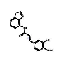 COc1ccc(/C=C/C(=O)Nc2cccc3ocnc23)cc1O